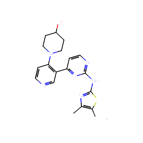 Cc1nc(Nc2nccc(-c3cnccc3N3CCC(O)CC3)n2)sc1C(=O)O